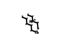 CCCCCCl.CCPCC